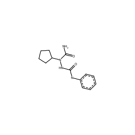 NC(=O)N(NC(=O)[N]c1ccccc1)C1CCCC1